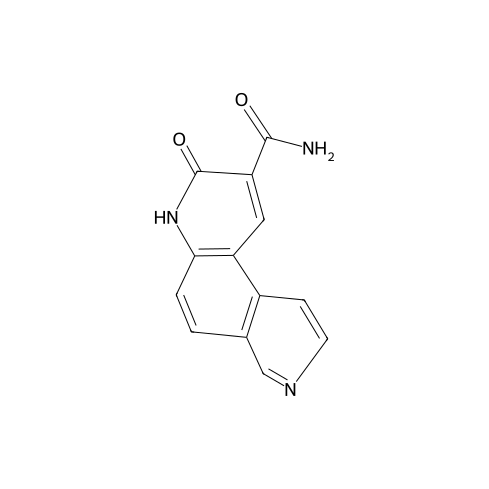 NC(=O)c1cc2c(ccc3cnccc32)[nH]c1=O